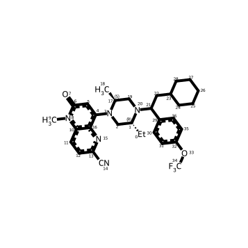 CC[C@@H]1CN(c2cc(=O)n(C)c3ccc(C#N)nc23)[C@@H](C)CN1C(CC1CCCCC1)c1ccc(OC(F)(F)F)cc1